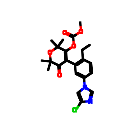 CCc1ccc(-n2cnc(Cl)c2)cc1C1=C(OC(=O)OC)C(C)(C)OC(C)(C)C1=O